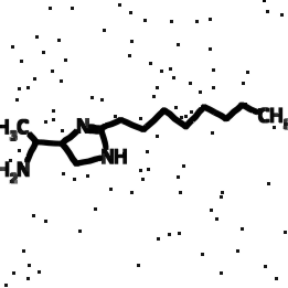 CCCCCCCCC1=NC(C(C)N)CN1